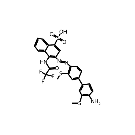 CSc1cc(-c2ccc(/N=N/c3cc(S(=O)(=O)O)c4ccccc4c3NC(=O)C(F)(F)F)c(SC)c2)ccc1N